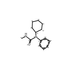 CNC(=O)N(c1ccccc1)C1CCCCC1